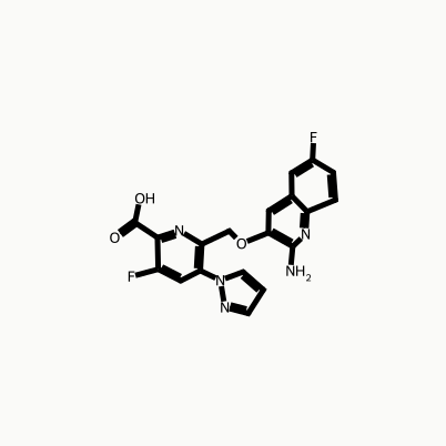 Nc1nc2ccc(F)cc2cc1OCc1nc(C(=O)O)c(F)cc1-n1cccn1